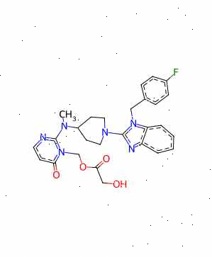 CN(c1nccc(=O)n1COC(=O)CO)C1CCN(c2nc3ccccc3n2Cc2ccc(F)cc2)CC1